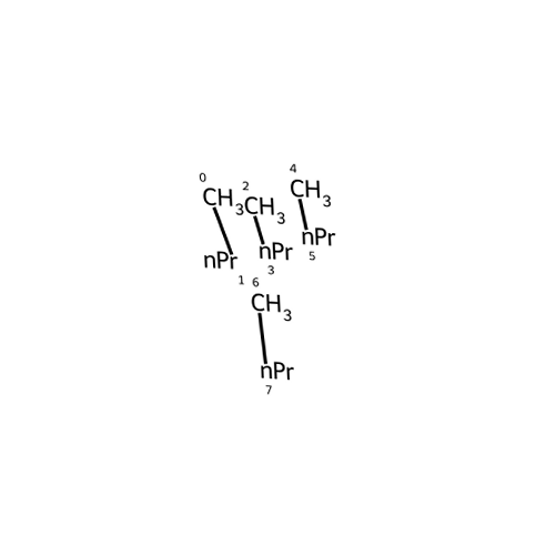 CCCC.CCCC.CCCC.CCCC